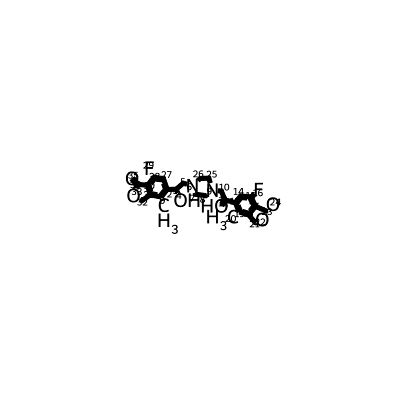 Cc1c(C(O)CN2CCN(CC(O)c3cc(F)c4c(c3C)COC4=O)CC2)cc(F)c2c1COC2=O